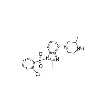 Cc1nc2c(N3CCNC(C)C3)cccc2n1S(=O)(=O)c1ccccc1Cl